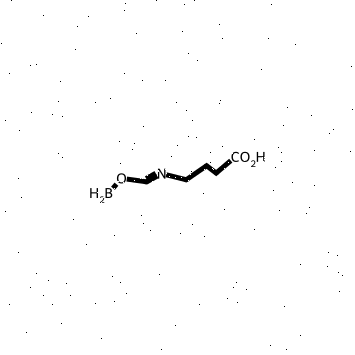 BOC=NCCCC(=O)O